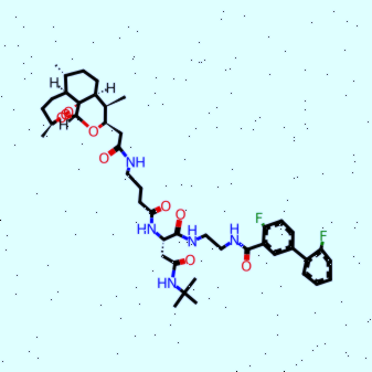 C[C@H]1[C@@H](CC(=O)NCCCC(=O)N[C@@H](CC(=O)NC(C)(C)C)C(=O)NCCNC(=O)c2cc(-c3ccccc3F)ccc2F)O[C@@H]2O[C@@]3(C)CC[C@H]4[C@H](C)CC[C@@H]1[C@@]24OO3